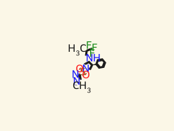 CC(CN[C@H]1CN(S(=O)(=O)c2cn(C)cn2)C[C@@H]1c1ccccc1)C(F)(F)F